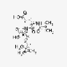 CC(C)C(=O)N[C@@H](CCC(=O)O)C(=O)N[C@@H](CSCC(C)(C)C)C(=O)O